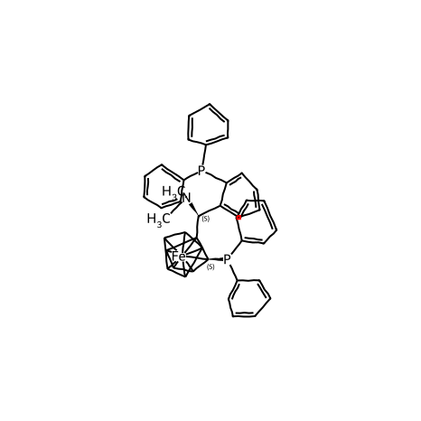 CN(C)[C@@H](c1ccccc1P(c1ccccc1)c1ccccc1)[C]12[CH]3[CH]4[CH]5[C@]1(P(c1ccccc1)c1ccccc1)[Fe]43521678[CH]2[CH]1[CH]6[CH]7[CH]28